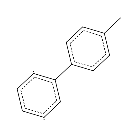 Cc1ccc(-c2[c]cc[c]c2)cc1